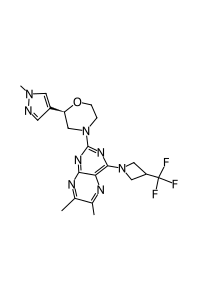 Cc1nc2nc(N3CCO[C@H](c4cnn(C)c4)C3)nc(N3CC(C(F)(F)F)C3)c2nc1C